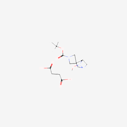 CON1C2CN1CC21CN(C(=O)OC(C)(C)C)C1.O=C(O)CCC(=O)O